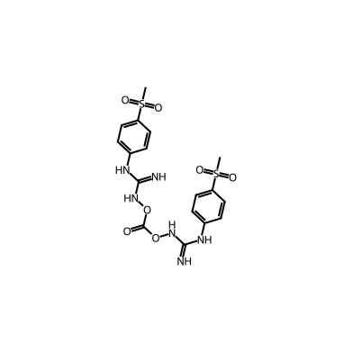 CS(=O)(=O)c1ccc(NC(=N)NOC(=O)ONC(=N)Nc2ccc(S(C)(=O)=O)cc2)cc1